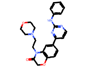 O=C1COc2ccc(-c3ccnc(Nc4ccccc4)n3)cc2N1CCN1CCOCC1